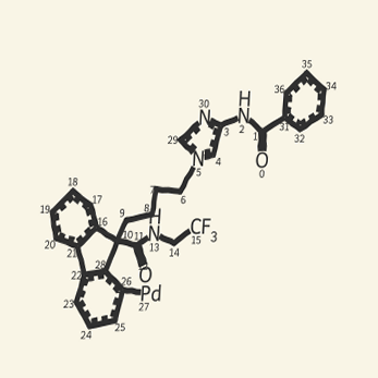 O=C(Nc1cn(CCCCC2(C(=O)NCC(F)(F)F)c3ccccc3-c3ccc[c]([Pd])c32)cn1)c1ccccc1